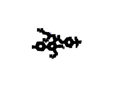 CC/C=C(C)/N=C(/NCc1cnc(C(F)(F)F)nc1)c1cc(-c2ccc(F)cc2)cc(OC)c1C